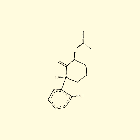 CC(C)O[C@H]1CCC[C@](N)(c2ccccc2Cl)C1=O